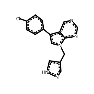 Clc1ccc(-c2cn(Cc3cn[nH]c3)c3ncncc23)cc1